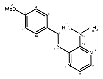 COc1ccc(CSc2nccnc2N(C)C)cc1